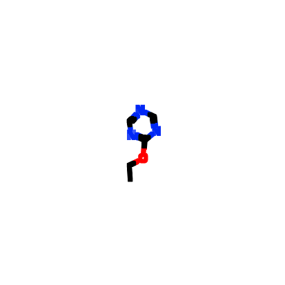 CCOc1ncncn1